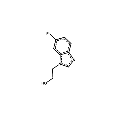 CC(C)c1ccc2ncn(CCO)c2c1